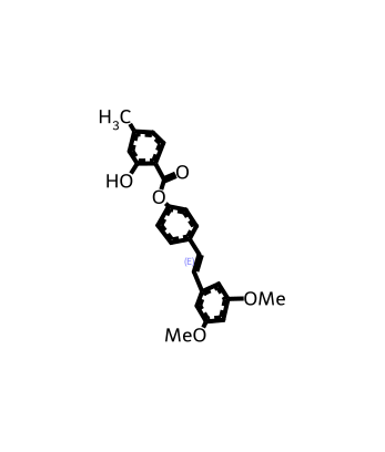 COc1cc(/C=C/c2ccc(OC(=O)c3ccc(C)cc3O)cc2)cc(OC)c1